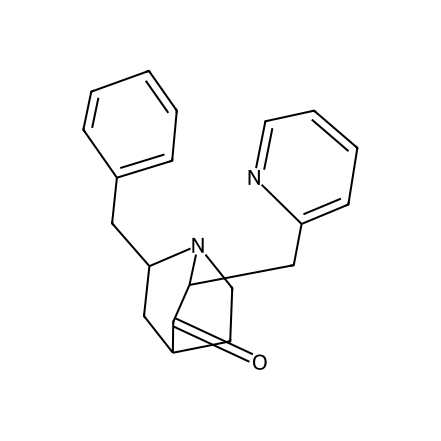 O=C1C2CCN(C(Cc3ccccc3)C2)C1Cc1ccccn1